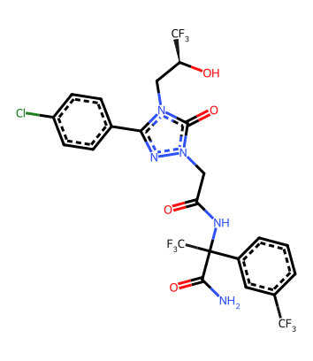 NC(=O)C(NC(=O)Cn1nc(-c2ccc(Cl)cc2)n(C[C@H](O)C(F)(F)F)c1=O)(c1cccc(C(F)(F)F)c1)C(F)(F)F